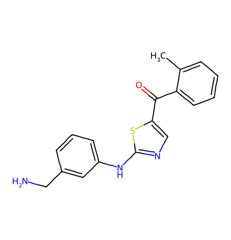 Cc1ccccc1C(=O)c1cnc(Nc2cccc(CN)c2)s1